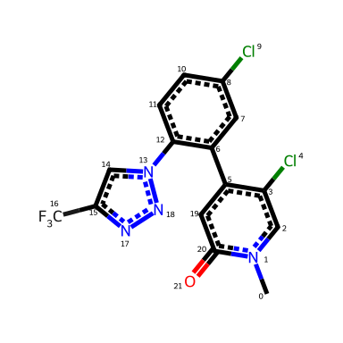 Cn1cc(Cl)c(-c2cc(Cl)ccc2-n2cc(C(F)(F)F)nn2)cc1=O